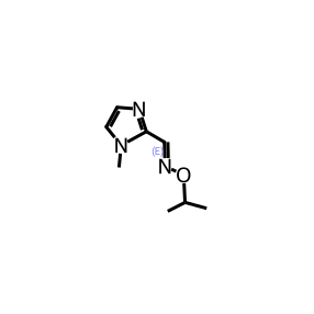 CC(C)O/N=C/c1nccn1C